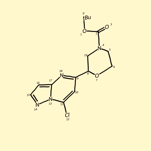 CC(C)(C)OC(=O)N1CCOC(c2cc(Cl)n3nccc3n2)C1